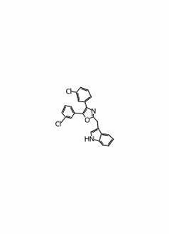 Clc1cccc(-c2nc(Cc3c[nH]c4ccccc34)oc2-c2cccc(Cl)c2)c1